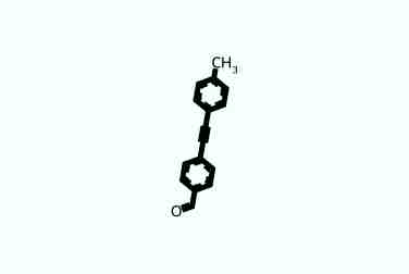 Cc1ccc(C#Cc2ccc(C=O)cc2)cc1